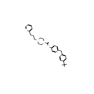 O=C(Oc1ccc(Cc2ccc(C(F)(F)F)cc2)cc1)N1CCN(CCCc2ccccn2)CC1